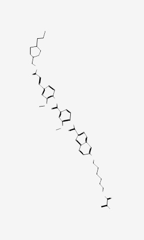 C=C(C)C(=O)OCCCCCCOc1ccc2cc(C(=O)Oc3ccc(C(=O)Oc4ccc(/C=C/C(=O)OCC5CCC(CCC)CC5)cc4OC)cc3OC)ccc2c1